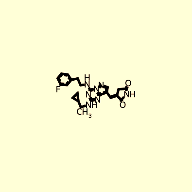 C[C@H](Nc1nc(NCCc2cccc(F)c2)n2ncc(C=C3CC(=O)NC3=O)c2n1)C1CC1